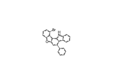 Brc1cccc2oc3cc(-c4ccccc4)c4c5ccccc5[nH]c4c3c12